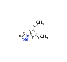 CCCCCC(CCCC)n1ccnn1